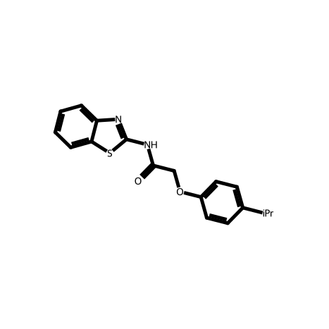 CC(C)c1ccc(OCC(=O)Nc2nc3ccccc3s2)cc1